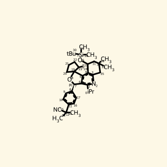 CC(C)c1nc2c(c3c1[C@@H](c1ccc(C(C)(C)C#N)cc1)OC31CCCC1I)C(O[Si](C)(C)C(C)(C)C)CC(C)(C)C2